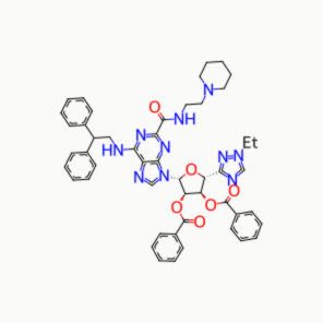 CCn1cnc([C@H]2O[C@@H](n3cnc4c(NCC(c5ccccc5)c5ccccc5)nc(C(=O)NCCN5CCCCC5)nc43)[C@H](OC(=O)c3ccccc3)[C@@H]2OC(=O)c2ccccc2)n1